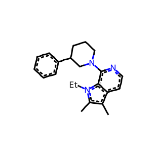 CCn1c(C)c(C)c2ccnc(N3CCCC(c4ccccc4)C3)c21